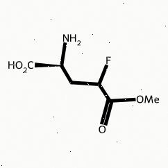 COC(=O)C(F)C[C@H](N)C(=O)O